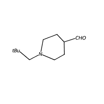 CC(C)(C)CN1CCC(C=O)CC1